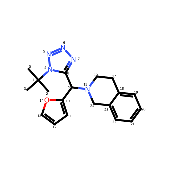 CC(C)(C)n1nnnc1C(c1ccco1)N1CCc2ccccc2C1